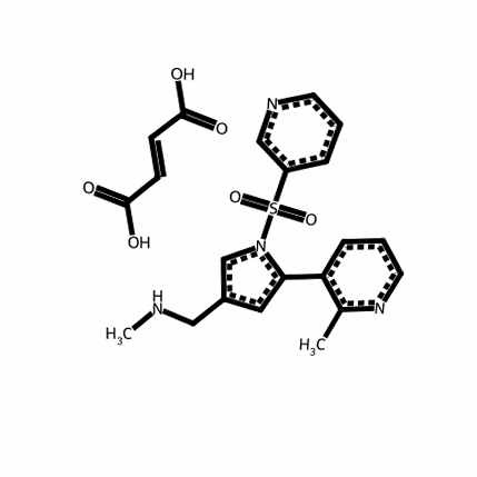 CNCc1cc(-c2cccnc2C)n(S(=O)(=O)c2cccnc2)c1.O=C(O)C=CC(=O)O